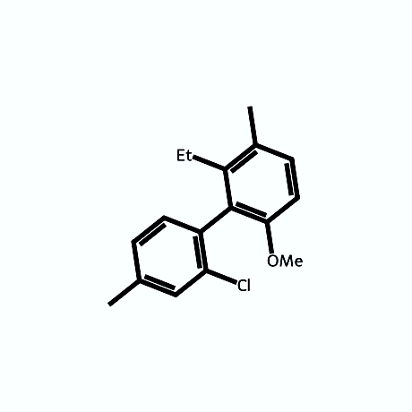 CCc1c(C)ccc(OC)c1-c1ccc(C)cc1Cl